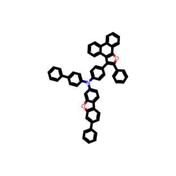 c1ccc(-c2ccc(N(c3ccc(-c4c(-c5ccccc5)oc5c6ccccc6c6ccccc6c45)cc3)c3ccc4c(c3)oc3cc(-c5ccccc5)ccc34)cc2)cc1